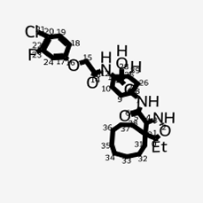 CCC1ONC(C(=O)NC23CCC(NC(=O)COc4ccc(Cl)c(F)c4)(CC2)[C@@H](O)C3)C12CCCCCCCC2